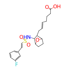 O=C(O)CCCC=CCC1C2CCC(O2)C1NS(=O)(=O)C=Cc1cccc(F)c1